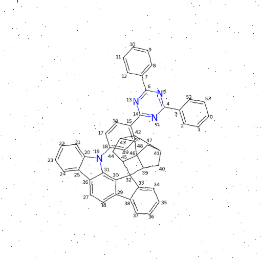 c1ccc(-c2nc(-c3ccccc3)nc(-c3ccc(-n4c5ccccc5c5ccc6c(c54)C4(c5ccccc5-6)C5CC6CC7CC4C5(C6)C7)cc3)n2)cc1